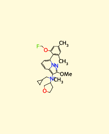 COc1nn2c(-c3c(C)cc(C)cc3OCF)cccc2c1[N+](C)(CC1CC1)C1CCOC1